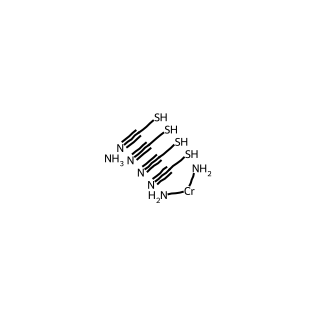 N.N#CS.N#CS.N#CS.N#CS.[NH2][Cr][NH2]